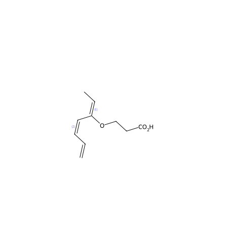 C=C/C=C\C(=C/C)OCCC(=O)O